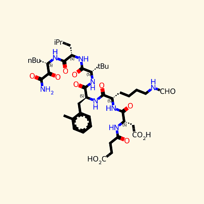 CCCC[C@H](NC(=O)[C@H](CC(C)C)NC(=O)[C@@H](NC(=O)[C@H](Cc1ccccc1C)NC(=O)[C@H](CCCCNC=O)NC(=O)[C@H](CC(=O)O)NC(=O)CCC(=O)O)C(C)(C)C)C(=O)C(N)=O